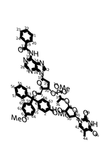 COc1ccc(C(OC[C@H]2O[C@@H](n3cnc4c(NC(=O)c5ccccc5)ncnc43)C[C@H]2OP(=O)(OC)C(C)O[C@H]2O[C@@H](n3cc(C)c(=O)[nH]c3=O)C[C@H]2O)(c2ccccc2)c2ccc(OC)cc2)cc1